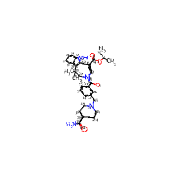 CC(C)OC(=O)C1=CN(C(=O)c2cccc(CN3CCC(C(N)=O)CC3)c2)CC(C)(C)c2c1[nH]c1ccccc21